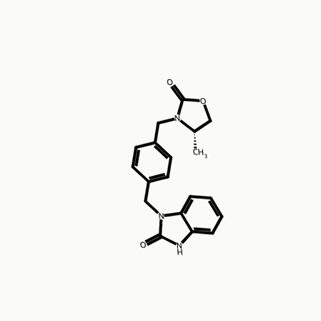 C[C@H]1COC(=O)N1Cc1ccc(Cn2c(=O)[nH]c3ccccc32)cc1